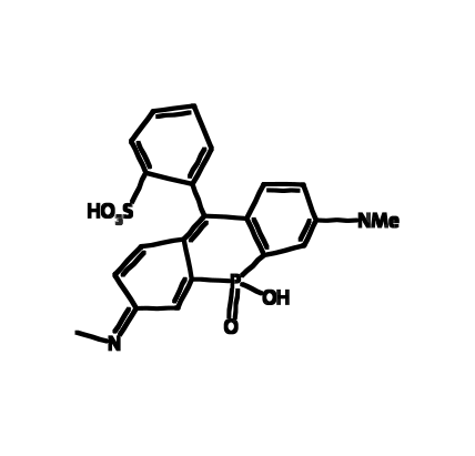 C/N=C1\C=CC2=C(c3ccccc3S(=O)(=O)O)c3ccc(NC)cc3P(=O)(O)C2=C1